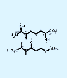 CCCCCCCCCCCCCC(=O)NC(C)C(=O)O.N=C(N)NCCC[C@H](N)C(=O)O